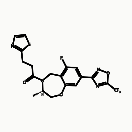 C[C@H]1COc2cc(-c3noc(C(F)(F)F)n3)cc(F)c2CN1C(=O)CCc1nccs1